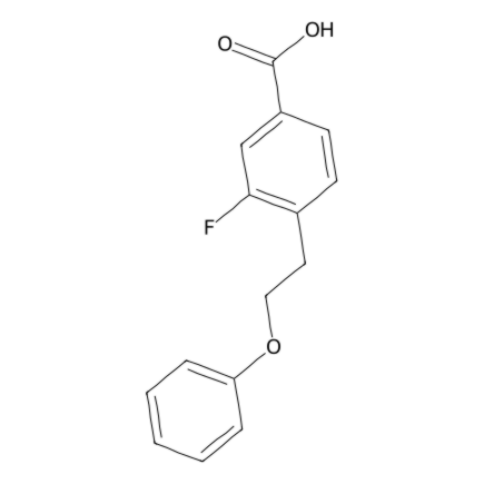 O=C(O)c1ccc(CCOc2ccccc2)c(F)c1